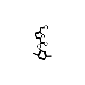 Cc1ccc(C)c(OC(=O)c2ccc(C=O)o2)c1